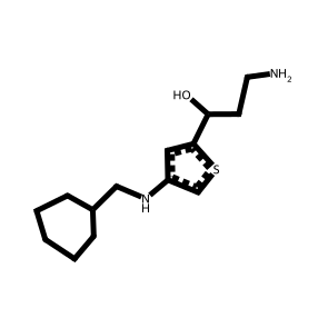 NCCC(O)c1cc(NCC2CCCCC2)cs1